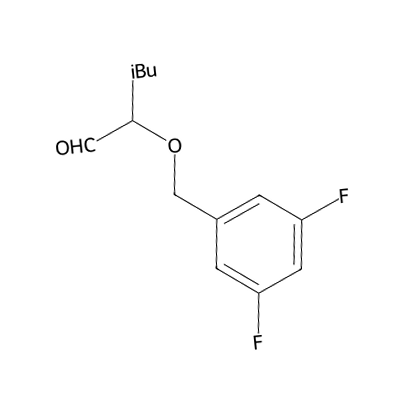 CCC(C)C(C=O)OCc1cc(F)cc(F)c1